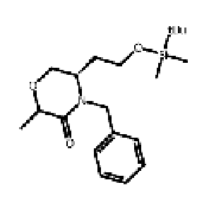 CC1OC[C@@H](CCO[Si](C)(C)C(C)(C)C)N(Cc2ccccc2)C1=O